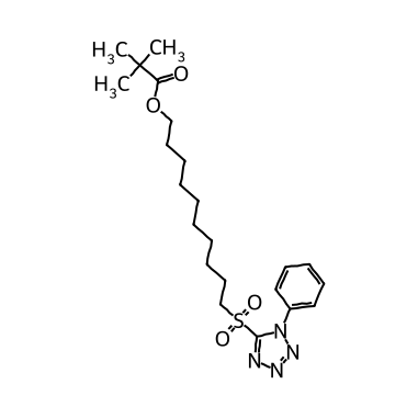 CC(C)(C)C(=O)OCCCCCCCCCCS(=O)(=O)c1nnnn1-c1ccccc1